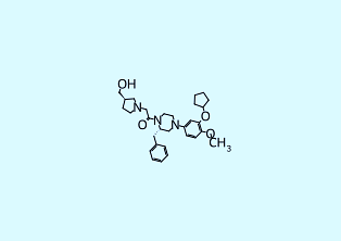 COc1ccc(N2CCN(C(=O)CN3CC[C@@H](CO)C3)[C@@H](Cc3ccccc3)C2)cc1OC1CCCC1